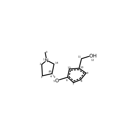 CN1CC[C@@H](Oc2cccc(CO)c2)C1